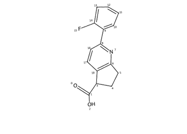 O=C(O)C1CCc2nc(-c3ccccc3F)ccc21